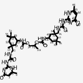 Cc1cc(=O)nc(NC(=O)NCC2(C)CC(NC(=O)OCC(C)OC(=O)NC3CC(C)(C)CC(C)(CNC(=O)Nc4nc(=O)cc(C)[nH]4)C3)CC(C)(C)C2)[nH]1